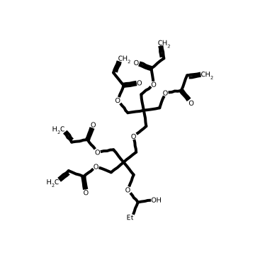 C=CC(=O)OCC(COCC(COC(=O)C=C)(COC(=O)C=C)COC(O)CC)(COC(=O)C=C)COC(=O)C=C